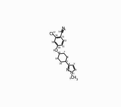 Cn1ccc(C2CCC(Oc3ccc(C#N)c(Cl)c3)CC2)n1